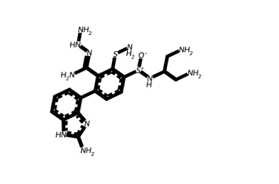 NCC(CN)N[S+]([O-])c1ccc(-c2cccc3[nH]c(N)nc23)c(/C(N)=N/NN)c1SN